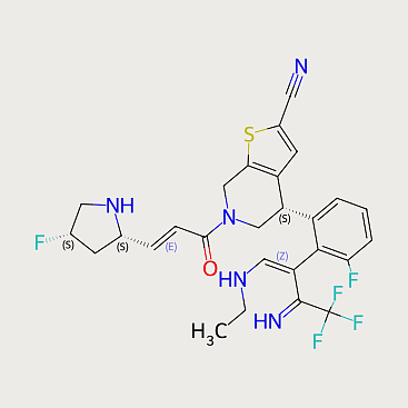 CCN/C=C(\C(=N)C(F)(F)F)c1c(F)cccc1[C@@H]1CN(C(=O)/C=C/[C@@H]2C[C@H](F)CN2)Cc2sc(C#N)cc21